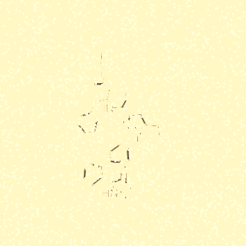 CCCOC(=O)CC(Cc1ccccc1)NC(=O)c1cc(CCC)n(Cc2ccc(-c3ccccc3-c3nnn[nH]3)nc2)n1